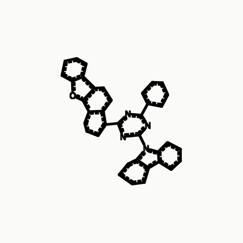 c1ccc(-c2nc(-c3cccc4c3ccc3c5ccccc5oc43)nc(-n3c4ccccc4c4ccccc43)n2)cc1